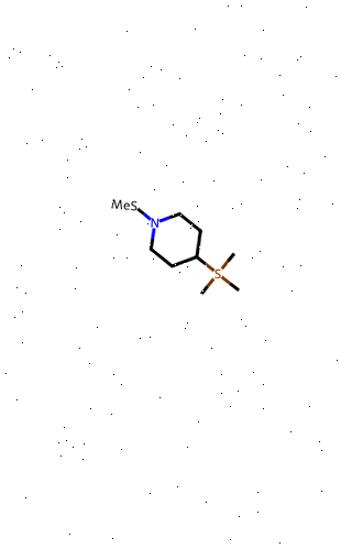 CSN1CCC(S(C)(C)C)CC1